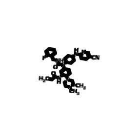 C=CC(=O)Nc1cc(N(C(=O)NCc2ccccc2F)C2CCC(Nc3ccc(C#N)cn3)CC2)ccc1N1CCN(C)[C@@H](C)C1